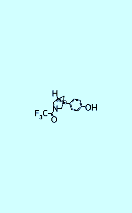 O=C(N1C[C@@H]2C[C@]2(c2ccc(O)cc2)C1)C(F)(F)F